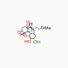 COCCN1CC[C@]23c4c5ccc(O)c4O[C@H]2C(=O)CC[C@@]3(O)[C@H]1C5.Cl